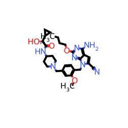 CCCCOc1nc(N)c2cc(C#N)n(Cc3ccc(CN4CCC(NC(=O)[C@H](O)C5CC5)CC4)cc3OC)c2n1